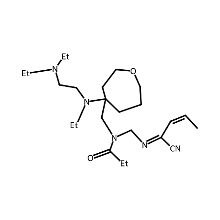 C/C=C\C(C#N)=N/CN(CC1(N(CC)CCN(CC)CC)CCCOCC1)C(=O)CC